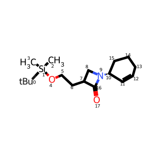 CC(C)(C)[Si](C)(C)OCCC1CN([C@H]2C=CCCC2)C1=O